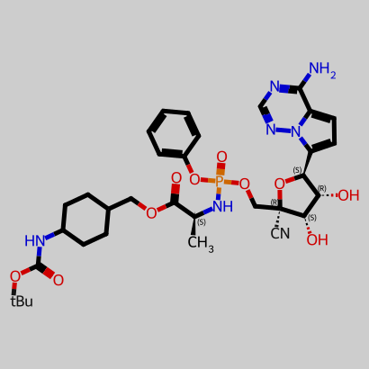 C[C@H](NP(=O)(OC[C@@]1(C#N)O[C@@H](c2ccc3c(N)ncnn23)[C@H](O)[C@@H]1O)Oc1ccccc1)C(=O)OCC1CCC(NC(=O)OC(C)(C)C)CC1